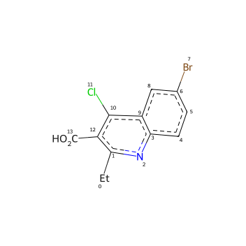 CCc1nc2ccc(Br)cc2c(Cl)c1C(=O)O